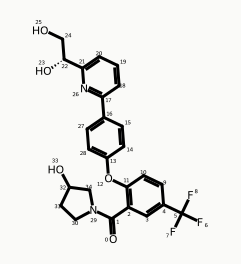 O=C(c1cc(C(F)(F)F)ccc1Oc1ccc(-c2cccc([C@H](O)CO)n2)cc1)N1CCC(O)C1